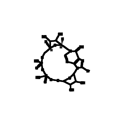 N=c1c2nc(Br)n3c2ncn1[C@H]1O[C@H](COP(=O)(O)OP(=O)(O)OCC2OC3C(O)C2O)C(O)C1O